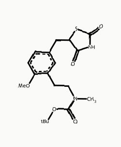 COc1ccc(CC2SC(=O)NC2=O)cc1CCN(C)C(=O)OC(C)(C)C